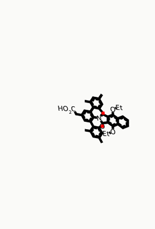 CCOc1c2c(c(OCC)c3ccccc13)C(=O)N(c1c(-c3c(C)cc(C)cc3C)cc(CC(=O)O)cc1-c1c(C)cc(C)cc1C)C2